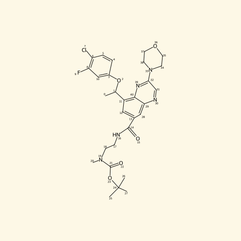 CC(Oc1ccc(Cl)c(F)c1)c1cc(C(=O)NCCN(C)C(=O)OC(C)(C)C)cc2ncc(N3CCOCC3)nc12